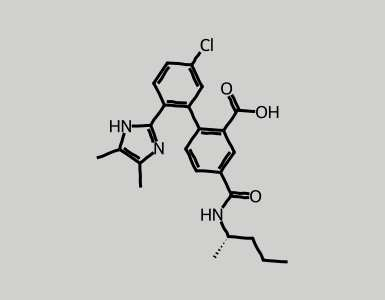 CCC[C@H](C)NC(=O)c1ccc(-c2cc(Cl)ccc2-c2nc(C)c(C)[nH]2)c(C(=O)O)c1